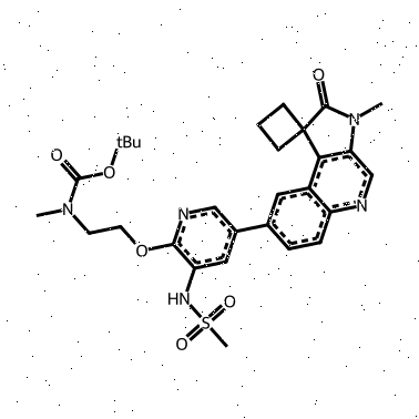 CN(CCOc1ncc(-c2ccc3ncc4c(c3c2)C2(CCC2)C(=O)N4C)cc1NS(C)(=O)=O)C(=O)OC(C)(C)C